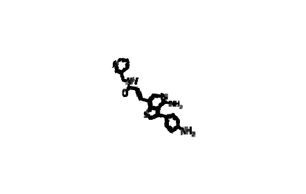 Nc1ccc(-c2csc3c(/C=C/C(=O)NCc4cccnc4)cnc(N)c23)cc1